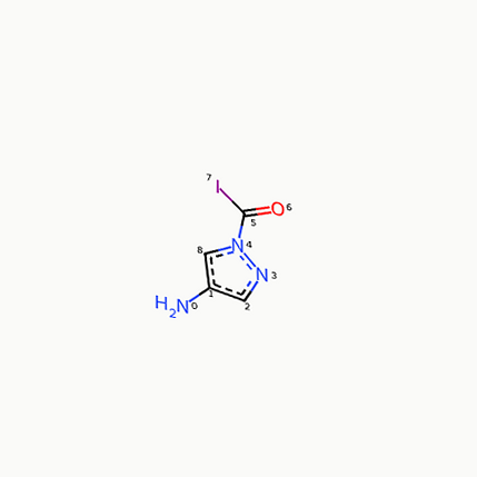 Nc1cnn(C(=O)I)c1